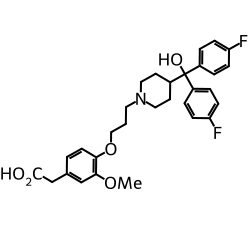 COc1cc(CC(=O)O)ccc1OCCCN1CCC(C(O)(c2ccc(F)cc2)c2ccc(F)cc2)CC1